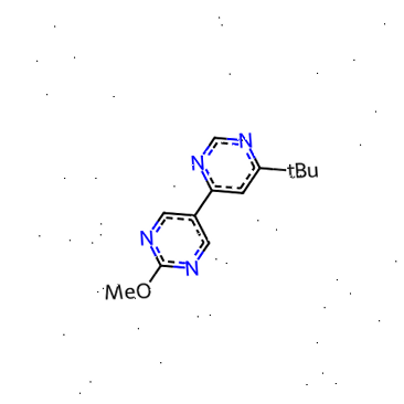 COc1ncc(-c2cc(C(C)(C)C)ncn2)cn1